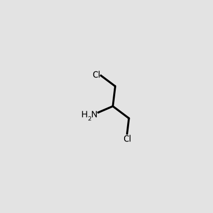 NC(CCl)CCl